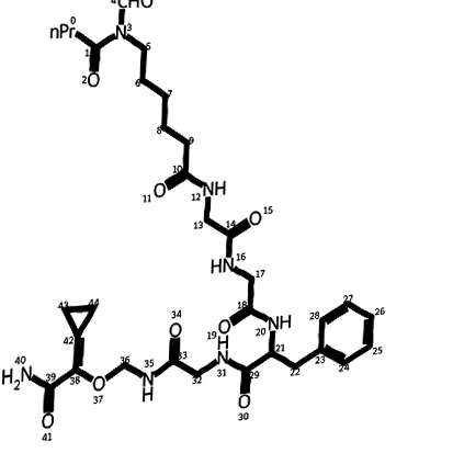 CCCC(=O)N(C=O)CCCCCC(=O)NCC(=O)NCC(=O)NC(Cc1ccccc1)C(=O)NCC(=O)NCOC(C(N)=O)=C1CC1